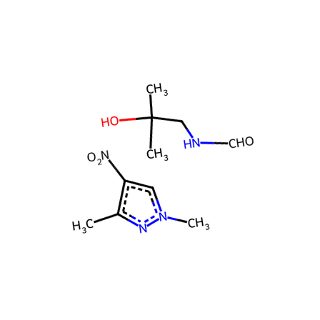 CC(C)(O)CNC=O.Cc1nn(C)cc1[N+](=O)[O-]